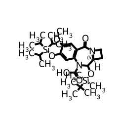 COc1cc2c(cc1O[Si](C(C)C)(C(C)C)C(C)C)N(C(=O)O)C(O[Si](C)(C)C(C)(C)C)[C@@H]1CCN1C2=O